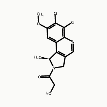 COc1cc2c3c(cnc2c(Cl)c1Cl)CN(C(=O)CO)[C@H]3C